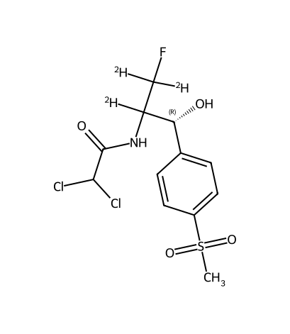 [2H]C([2H])(F)C([2H])(NC(=O)C(Cl)Cl)[C@H](O)c1ccc(S(C)(=O)=O)cc1